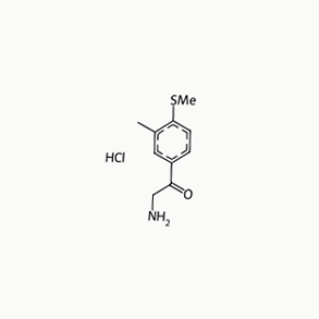 CSc1ccc(C(=O)CN)cc1C.Cl